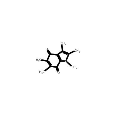 CC1=C(C)C(=O)c2c(c(C)c(C)n2C)C1=O